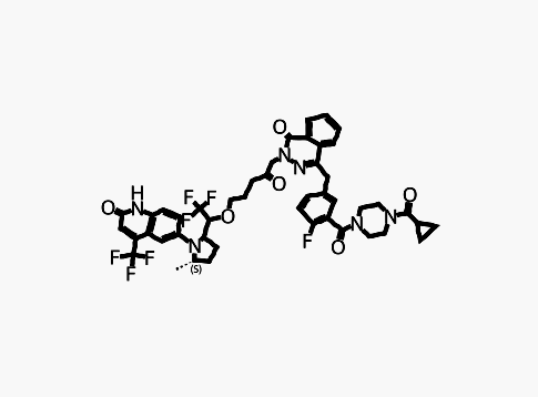 C[C@H]1CCC(C(OCCCC(=O)Cn2nc(Cc3ccc(F)c(C(=O)N4CCN(C(=O)C5CC5)CC4)c3)c3ccccc3c2=O)C(F)(F)F)N1c1ccc2[nH]c(=O)cc(C(F)(F)F)c2c1